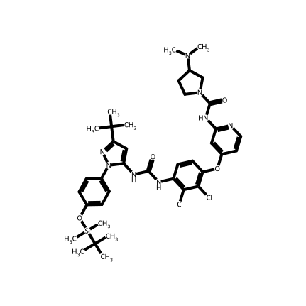 CN(C)C1CCN(C(=O)Nc2cc(Oc3ccc(NC(=O)Nc4cc(C(C)(C)C)nn4-c4ccc(O[Si](C)(C)C(C)(C)C)cc4)c(Cl)c3Cl)ccn2)C1